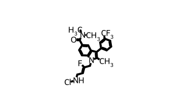 Cc1c(-c2cccc(C(F)(F)F)c2)c2cc(C(=O)N(C)C)ccc2n1C/C(F)=C/CNCl